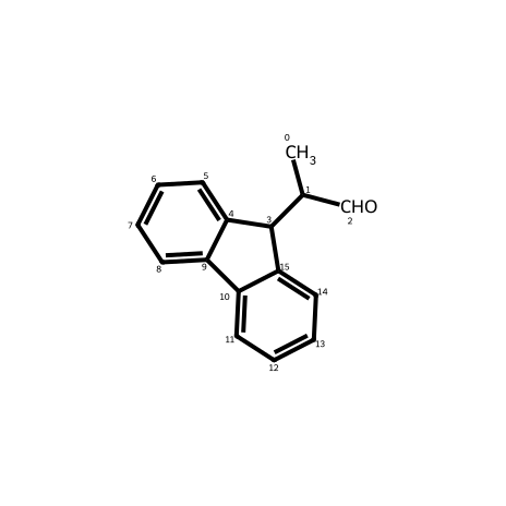 CC(C=O)C1c2ccccc2-c2ccccc21